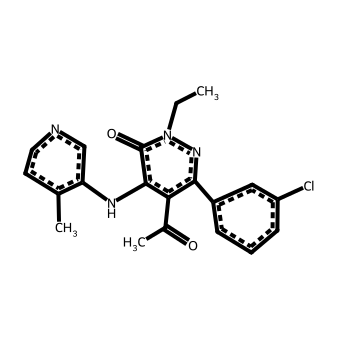 CCn1nc(-c2cccc(Cl)c2)c(C(C)=O)c(Nc2cnccc2C)c1=O